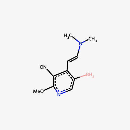 Bc1cnc(OC)c(N=O)c1/C=C/N(C)C